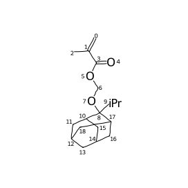 C=C(C)C(=O)OCOC1(C(C)C)C2CC3CC(C2)CC1C3